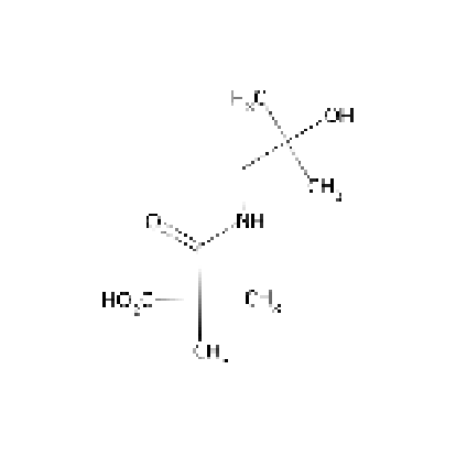 CC(C)(O)CNC(=O)C(C)(C)C(=O)O